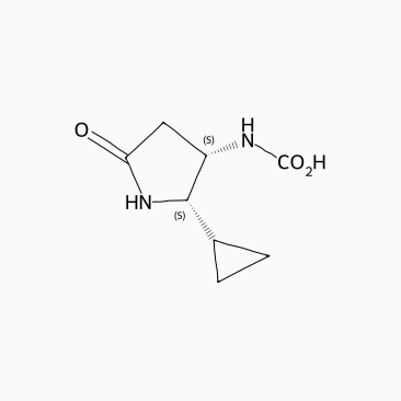 O=C(O)N[C@H]1CC(=O)N[C@H]1C1CC1